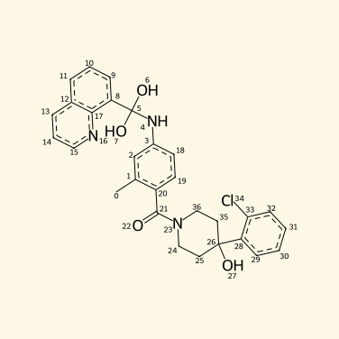 Cc1cc(NC(O)(O)c2cccc3cccnc23)ccc1C(=O)N1CCC(O)(c2ccccc2Cl)CC1